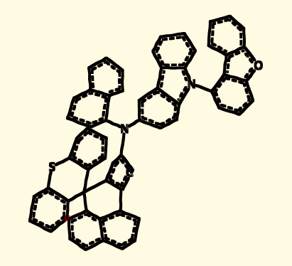 c1ccc2c(c1)Sc1ccccc1C21c2cc(N(c3ccc4c(c3)c3ccccc3n4-c3cccc4oc5ccccc5c34)c3cccc4ccccc34)ccc2-c2cccc3cccc1c23